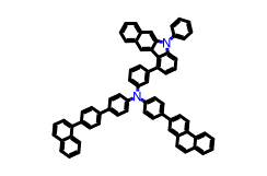 c1ccc(-n2c3cc4ccccc4cc3c3c(-c4cccc(N(c5ccc(-c6ccc(-c7cccc8ccccc78)cc6)cc5)c5ccc(-c6ccc7c(ccc8ccccc87)c6)cc5)c4)cccc32)cc1